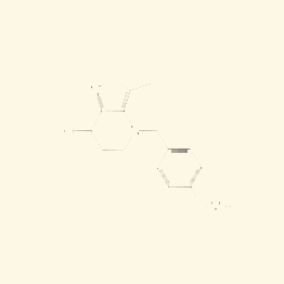 COc1ccc(CN2CCC(O)c3noc(C)c32)cc1